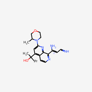 CC1COCCN1c1cc(C(C)(O)C(C)C)c2ccnc(/C(N)=C/C=N)c2n1